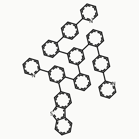 c1ccc(-c2ccc(-c3ccccc3-c3cc(-c4ccccc4-c4ccc(-c5ccccn5)cc4)cc(-c4ccccc4-c4ccc(-c5ccccn5)cc4-c4ccc5c(c4)sc4ccccc45)c3)cc2)nc1